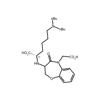 CCCCN(CCCC)CCCC[C@H](NC1COc2ccccc2N(CC(=O)O)C1=O)C(=O)O